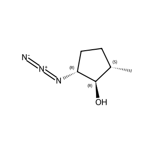 C[C@H]1CC[C@@H](N=[N+]=[N-])[C@@H]1O